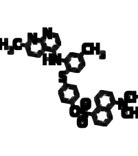 Cc1ccc(Sc2ccc(OS(=O)(=O)c3cccc4c(N(C)C)cccc34)cc2)c(Nc2ccnc3nc(C)ccc23)c1